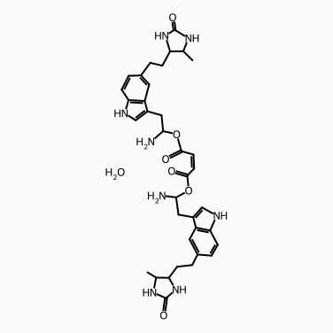 CC1NC(=O)NC1CCc1ccc2[nH]cc(CC(N)OC(=O)/C=C\C(=O)OC(N)Cc3c[nH]c4ccc(CCC5NC(=O)NC5C)cc34)c2c1.O